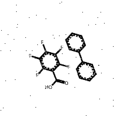 O=C(O)c1c(F)c(F)c(F)c(F)c1F.c1ccc(-c2ccccc2)cc1